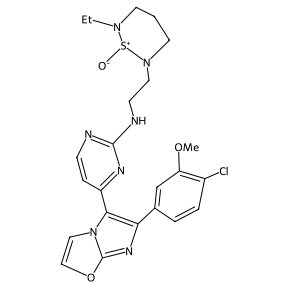 CCN1CCCN(CCNc2nccc(-c3c(-c4ccc(Cl)c(OC)c4)nc4occn34)n2)[S+]1[O-]